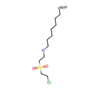 CCCCCCCCCCCCCCCC[N]CCS(=O)(=O)CCCl